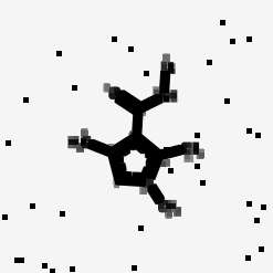 CCNC(=O)c1c(C)cn(C)c1C